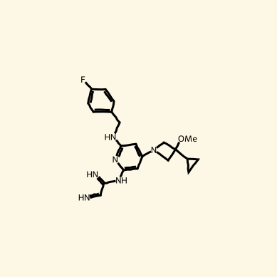 COC1(C2CC2)CN(c2cc(NCc3ccc(F)cc3)nc(NC(=N)C=N)c2)C1